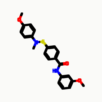 COc1ccc(N(C)Sc2ccc(C(=O)Nc3cccc(OC)c3)cc2)cc1